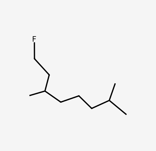 CC(C)CCCC(C)CCF